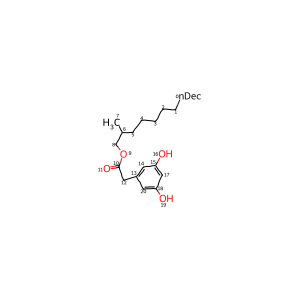 CCCCCCCCCCCCCCCC(C)COC(=O)Cc1cc(O)cc(O)c1